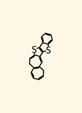 C1=CCC2=C(C=C1)CC=c1sc3c(sc4ccccc43)c1=C2